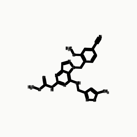 COC(=O)Nc1nc(NCc2cc(C)on2)c2c(cnn2Cc2ccc(C#N)cc2OC)n1